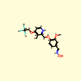 COc1cc(C=NO)ccc1OCc1nccc(OCC(F)(F)F)c1C